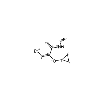 C=C(NCCC)/C(=C\CC)OC1CC1